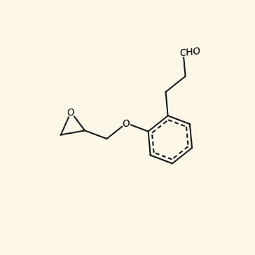 O=CCCc1ccccc1OCC1CO1